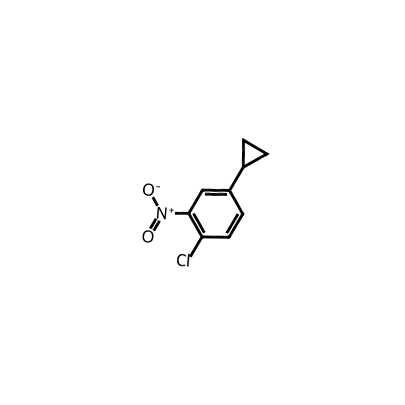 O=[N+]([O-])c1cc(C2CC2)ccc1Cl